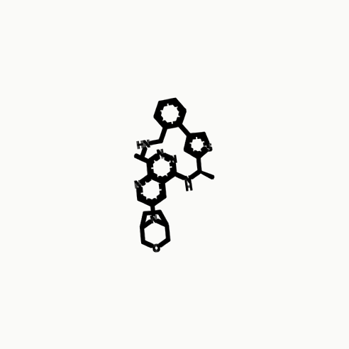 CNCc1ccccc1-c1csc([C@@H](C)Nc2nnc(C)c3ncc(N4C5CCC4COC5)cc23)c1